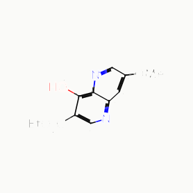 CCOC(=O)c1cnc2cc(OC)cnc2c1O